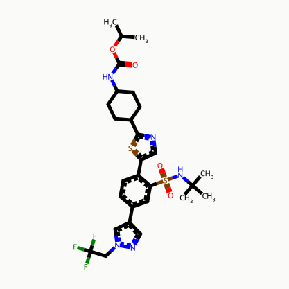 CC(C)OC(=O)NC1CCC(c2ncc(-c3ccc(-c4cnn(CC(F)(F)F)c4)cc3S(=O)(=O)NC(C)(C)C)s2)CC1